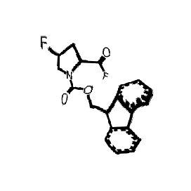 O=C(F)C1CC(F)CN1C(=O)OCC1c2ccccc2-c2ccccc21